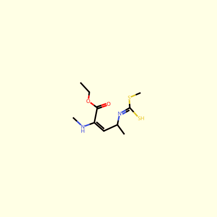 CCOC(=O)/C(=C\C(C)/N=C(\S)SC)NC